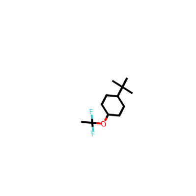 CC(F)(F)OC1CCC(C(C)(C)C)CC1